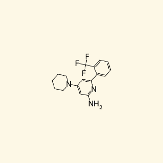 Nc1cc(N2CCCCC2)cc(-c2ccccc2C(F)(F)F)n1